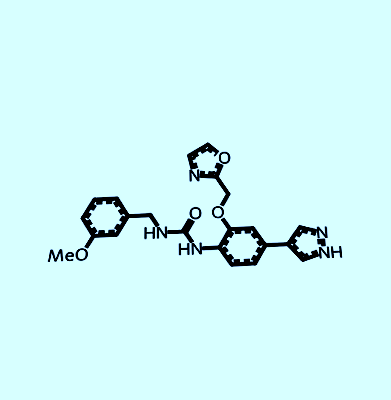 COc1cccc(CNC(=O)Nc2ccc(-c3cn[nH]c3)cc2OCc2ncco2)c1